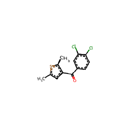 Cc1cc(C(=O)c2ccc(Cl)c(Cl)c2)c(C)s1